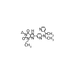 C=C(c1cccnc1)N(CC)c1ccc(-c2nc3c([nH]2)c(=O)n(C2CC2)c(=O)n3CCC)cn1